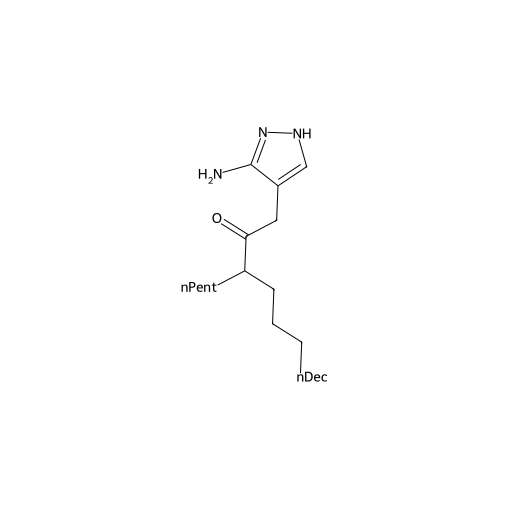 CCCCCCCCCCCCCC(CCCCC)C(=O)Cc1c[nH]nc1N